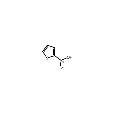 CC(C)[C@H](O)c1cccs1